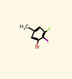 Cc1cc(F)c(I)c(Br)c1